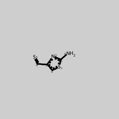 Nc1nc([C]=S)cs1